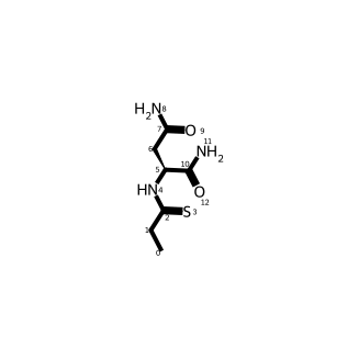 CCC(=S)N[C@@H](CC(N)=O)C(N)=O